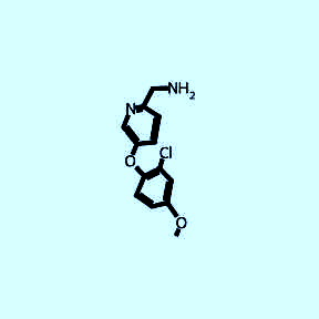 COc1ccc(Oc2ccc(CN)nc2)c(Cl)c1